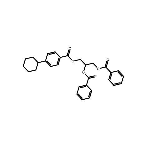 O=C(OCC(COC(=O)c1ccc(C2CCCCC2)cc1)OC(=O)c1ccccc1)c1ccccc1